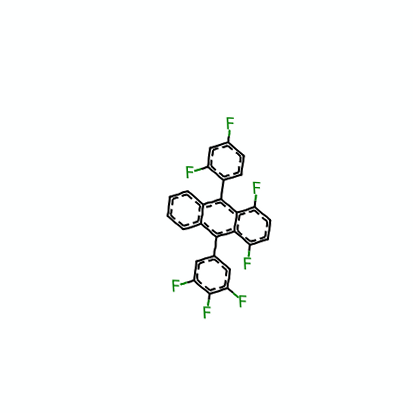 Fc1ccc(-c2c3ccccc3c(-c3cc(F)c(F)c(F)c3)c3c(F)ccc(F)c23)c(F)c1